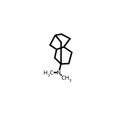 CN(C)C12CCC3CCC(CC3C1)C2